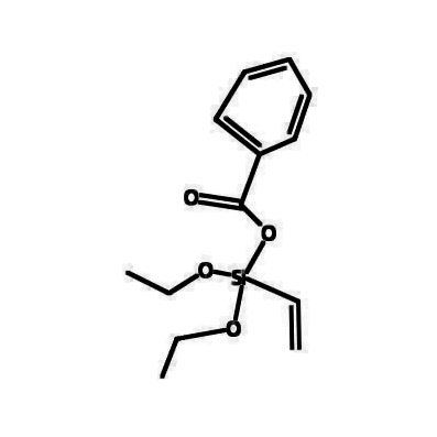 C=C[Si](OCC)(OCC)OC(=O)c1ccccc1